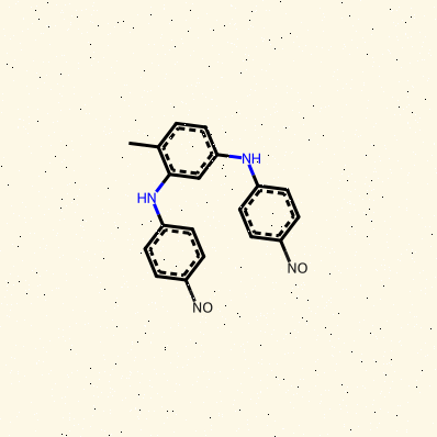 Cc1ccc(Nc2ccc(N=O)cc2)cc1Nc1ccc(N=O)cc1